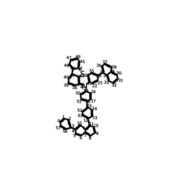 c1ccc(-c2ccc3cccc(-c4ccc(-c5ccc(N(c6ccc(-c7cccc8ccccc78)cc6)c6cccc7c6sc6ccccc67)cc5)cc4)c3c2)cc1